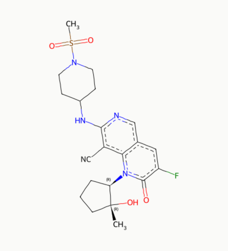 C[C@@]1(O)CCC[C@H]1n1c(=O)c(F)cc2cnc(NC3CCN(S(C)(=O)=O)CC3)c(C#N)c21